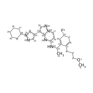 COCCCC1=CCC(F)C=C1C(C)Nc1ccn2ncc(-c3cnn(C4CCCCC4)c3)c2n1